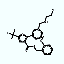 COc1ccccc1CNC(=O)c1cc(C(F)(F)F)nn1-c1cccc(CNCCN)c1